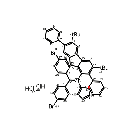 CC(C)(C)c1cc2c(cc1-c1ccccc1)Cc1c-2cc(C(C)(C)C)c(-c2ccccc2)[c]1[Zr]([C]1=CC=CC1)=[C](c1ccc(Br)cc1)c1ccc(Br)cc1.Cl.Cl